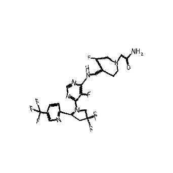 NC(=O)CN1CCC(CNc2ncnc(N3CC(F)(F)CC3c3ccc(C(F)(F)F)cn3)c2F)C(F)C1